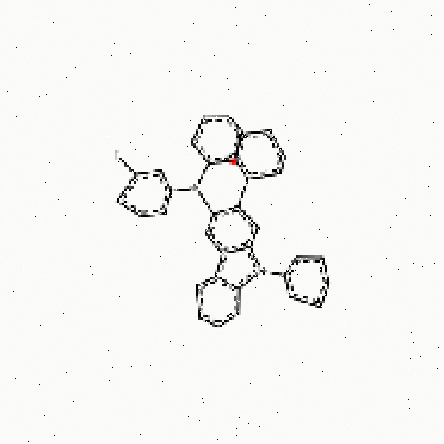 Fc1cccc(N(c2ccccc2)c2cc3c4ccccc4n(-c4ccccc4)c3cc2-c2ccccc2)c1